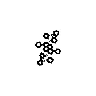 C1=Cc2sc3c(N(c4ccccc4)c4cc(C5CCCCC5)c5ccc6c(N(c7ccccc7)c7cccc8c7sc7ccccc78)cc(C7CCCCC7)c7ccc4c5c76)cccc3c2CC1